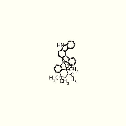 CC1CC(C)(C)c2cccc(-n3c4ccccc4c4c5c(ccc43)[nH]c3ccccc35)c2C1(C)C